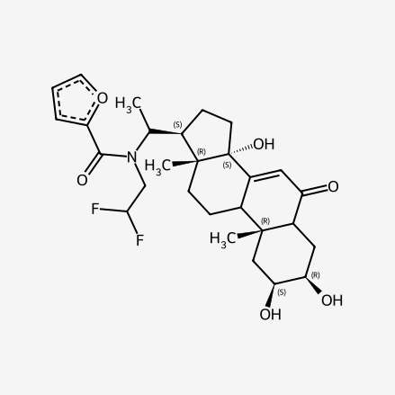 CC([C@H]1CC[C@@]2(O)C3=CC(=O)C4C[C@@H](O)[C@@H](O)C[C@]4(C)C3CC[C@]12C)N(CC(F)F)C(=O)c1ccco1